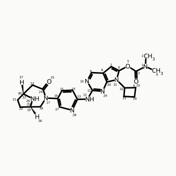 CN(C)C(=O)Oc1cc2cnc(Nc3ccc(N4C[C@@H]5CC[C@H](CC4=O)N5)cn3)nc2n1C1CCC1